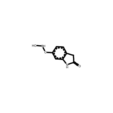 O=C1Cc2ccc(OBO)cc2N1